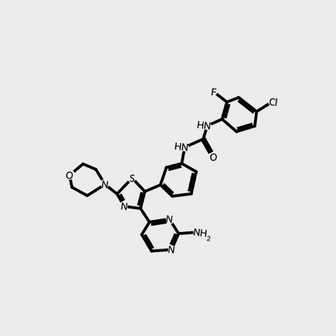 Nc1nccc(-c2nc(N3CCOCC3)sc2-c2cccc(NC(=O)Nc3ccc(Cl)cc3F)c2)n1